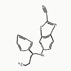 CCC(Nc1ccc2nc(C#N)sc2c1)c1ccccc1